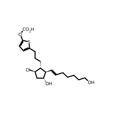 O=C(O)Oc1ccc(CCC[C@@H]2[C@@H](C=CCCCCCO)[C@H](O)C[C@H]2Cl)s1